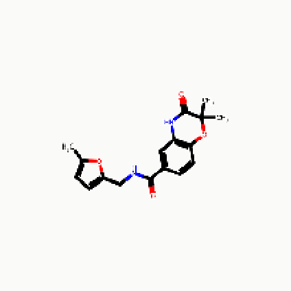 Cc1ccc(CNC(=O)c2ccc3c(c2)NC(=O)C(C)(C)O3)o1